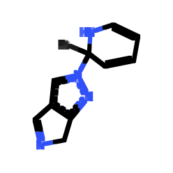 CCC1(n2cc3c(n2)CN=C3)C=CC=CN1